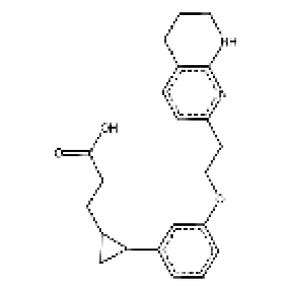 O=C(O)CCC1CC1c1cccc(OCCc2ccc3c(n2)NCCC3)c1